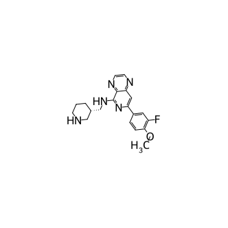 COc1ccc(-c2cc3nccnc3c(NC[C@H]3CCCNC3)n2)cc1F